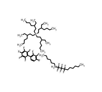 CCCCC(CC)CC[B-](CCC(CC)CCCC)(CCC(CC)CCCC)CCC(CC)CCCC.CCCCCC[NH2+]C(F)(F)C(F)(F)C(F)(F)CCCCCC.Fc1ccc(-c2c(F)c(F)c(F)c(F)c2F)c(F)c1F